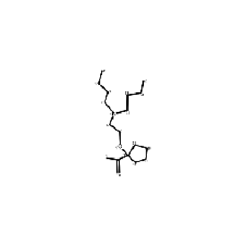 C=C(C)C1(OCCN(CCCC)CCCC)CCCC1